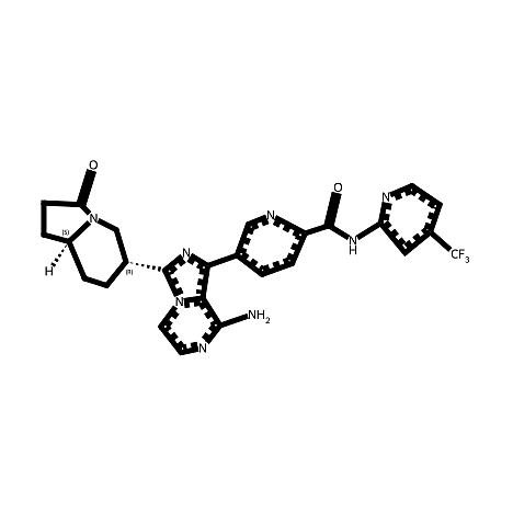 Nc1nccn2c([C@@H]3CC[C@H]4CCC(=O)N4C3)nc(-c3ccc(C(=O)Nc4cc(C(F)(F)F)ccn4)nc3)c12